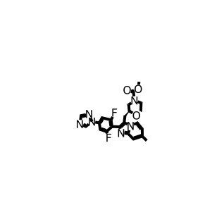 COC(=O)N1CCO[C@@H](Cc2c(-c3c(F)cc(-n4cncn4)cc3F)nc3cc(C)ccn23)C1